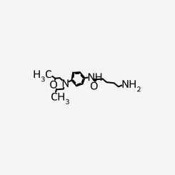 CC1CN(c2ccc(NC(=O)CCCCN)cc2)CC(C)O1